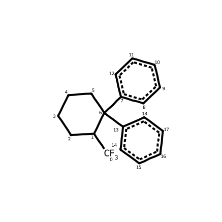 FC(F)(F)C1CCCCC1(c1ccccc1)c1ccccc1